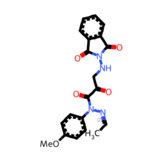 C/C=N\N(C(=O)C(=O)CNN1C(=O)c2ccccc2C1=O)c1ccc(OC)cc1